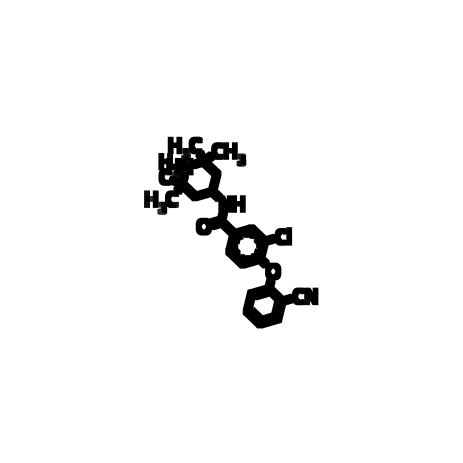 CC1(C)CC(NC(=O)c2ccc(OC3=CC=C=C=C3C#N)c(Cl)c2)CC(C)(C)N1